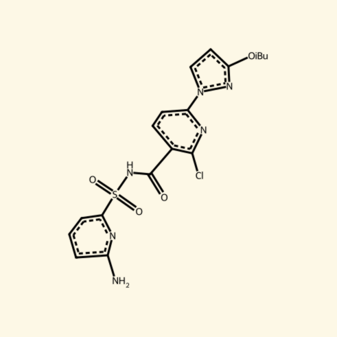 CC(C)COc1ccn(-c2ccc(C(=O)NS(=O)(=O)c3cccc(N)n3)c(Cl)n2)n1